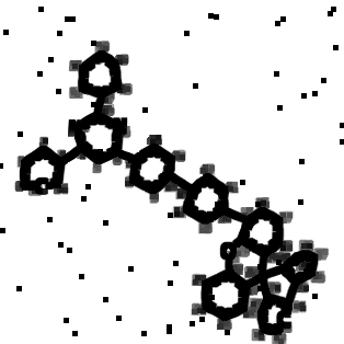 c1ccc(-c2cc(-c3ccc(-c4ccc(-c5cccc6c5Oc5ccccc5C65c6ccccc6-c6ccccc65)cc4)cc3)nc(-c3ccccc3)n2)cc1